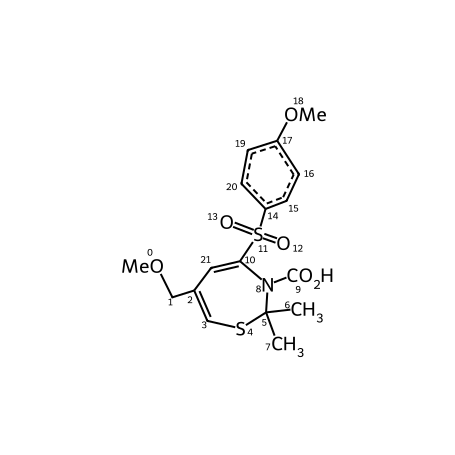 COCC1=CSC(C)(C)N(C(=O)O)C(S(=O)(=O)c2ccc(OC)cc2)=C1